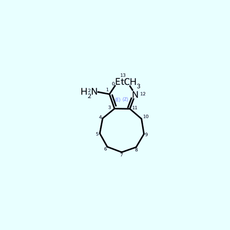 CC/C(N)=C1/CCCCCCC/C1=N/C